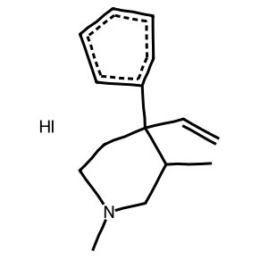 C=CC1(c2ccccc2)CCN(C)CC1C.I